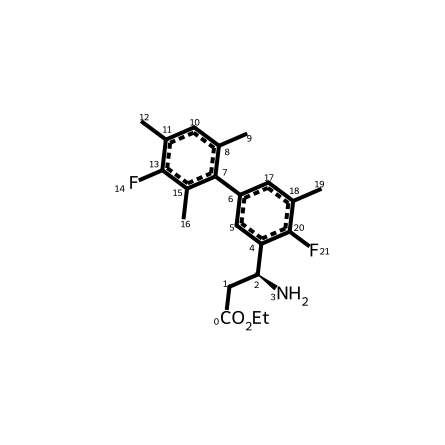 CCOC(=O)C[C@H](N)c1cc(-c2c(C)cc(C)c(F)c2C)cc(C)c1F